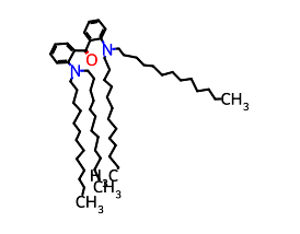 CCCCCCCCCCCCCN(CCCCCCCCCCCCC)c1ccccc1C(=O)c1ccccc1N(CCCCCCCCCCCCC)CCCCCCCCCCCCC